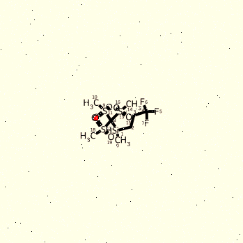 C[SiH](CCC(F)(F)F)C(S(C)(=O)=O)(S(C)(=O)=O)S(C)(=O)=O